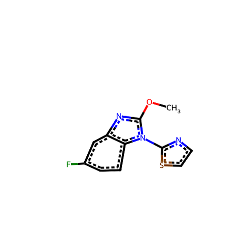 COc1nc2cc(F)ccc2n1-c1nccs1